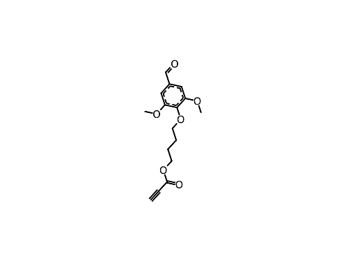 C#CC(=O)OCCCCOc1c(OC)cc(C=O)cc1OC